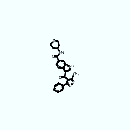 Cc1onc(-c2ccccc2)c1C(=O)c1c[nH]c2cc(C(=O)NC3CCOCC3)ccc12